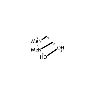 CNC.CNC.OO